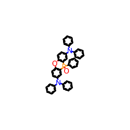 O=P1(c2ccccc2)c2cc(N(c3ccccc3)c3ccccc3)ccc2Oc2ccc(N(c3ccccc3)c3ccccc3)cc21